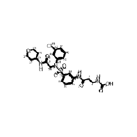 O=C(O)NCCC(=O)Nc1cccc(S(=O)(=O)N(CC(=O)NC2CCOCC2)c2cccc(Cl)c2)c1